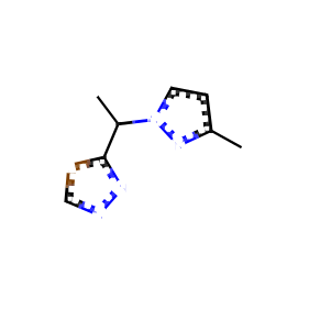 Cc1ccn(C(C)c2nncs2)n1